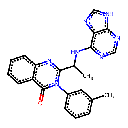 Cc1cccc(-n2c(C(C)Nc3ncnc4[nH]cnc34)nc3ccccc3c2=O)c1